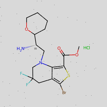 COC(=O)c1sc(Br)c2c1N(C[C@H](N)C1CCCCO1)CC(F)(F)C2.Cl